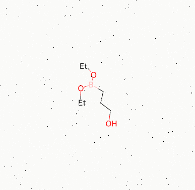 CCOB(CCCO)OCC